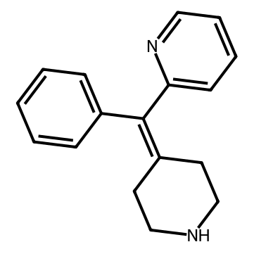 c1ccc(C(=C2CCNCC2)c2ccccn2)cc1